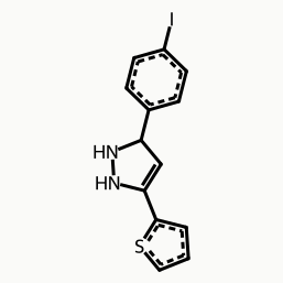 Ic1ccc(C2C=C(c3cccs3)NN2)cc1